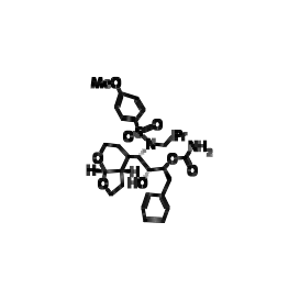 COc1ccc(S(=O)(=O)N(CC(C)C)[C@@H](C2CCO[C@H]3OCC[C@@H]23)[C@@H](O)[C@H](Cc2ccccc2)OC(N)=O)cc1